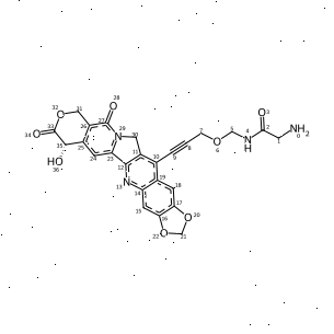 NCC(=O)NCOCC#Cc1c2c(nc3cc4c(cc13)OCO4)-c1cc3c(c(=O)n1C2)COC(=O)[C@H]3O